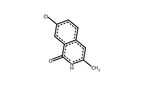 Cc1cc2ccc(Cl)cc2c(=O)[nH]1